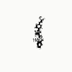 CSC(C)CCC1CCC(c2nc(C(=O)Nc3ccccc3C)cs2)CC1